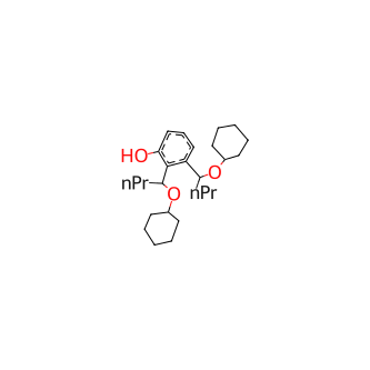 CCCC(OC1CCCCC1)c1cccc(O)c1C(CCC)OC1CCCCC1